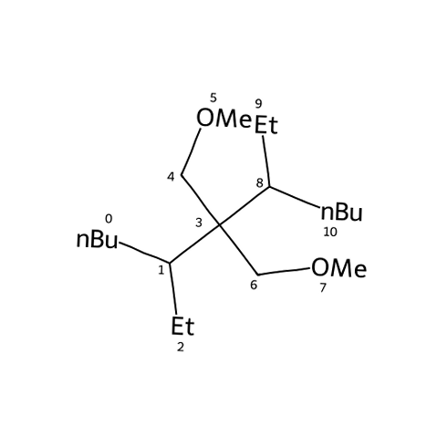 CCCCC(CC)C(COC)(COC)C(CC)CCCC